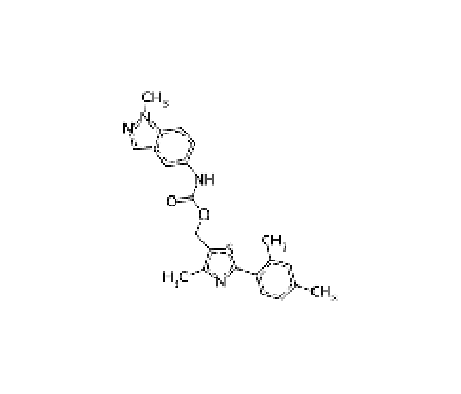 Cc1ccc(-c2nc(C)c(COC(=O)Nc3ccc4c(cnn4C)c3)s2)c(C)c1